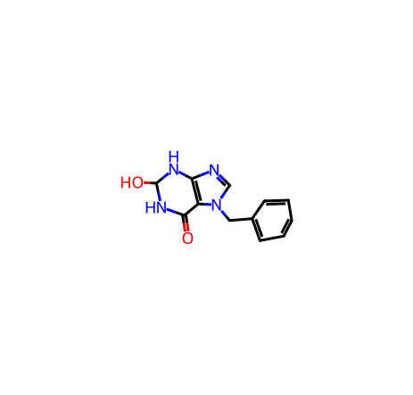 O=C1NC(O)Nc2ncn(Cc3ccccc3)c21